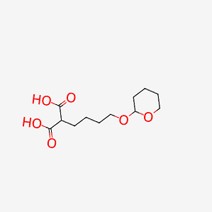 O=C(O)C(CCCCOC1CCCCO1)C(=O)O